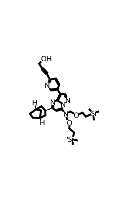 C[Si](C)(C)CCOCN(COCC[Si](C)(C)C)c1cc([C@H]2C[C@@H]3CC[C@@H](C3)C2)nc2c(-c3ccc(C#CCO)nc3)cnn12